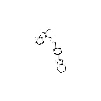 CCc1nc2ncccn2c1C(=O)NCc1ccc(-c2cc3n(n2)CCCC3)cc1